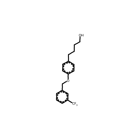 OCCCCc1ccc(OCc2cccc(C(F)(F)F)c2)cc1